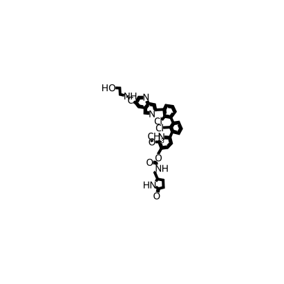 COc1nc(-c2cccc(-c3cccc(-c4cc5ncc(CNCCO)cc5cn4)c3Cl)c2Cl)ccc1COC(=O)NCC1CCC(=O)N1